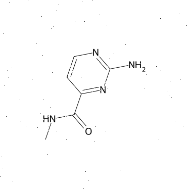 CNC(=O)c1ccnc(N)n1